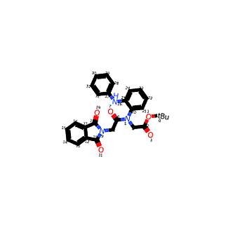 CC(C)(C)OC(=O)CN(C(=O)CN1C(=O)c2ccccc2C1=O)c1ccccc1Nc1ccccc1